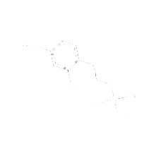 COc1ccc(CCO[Si](C)(C)C(C)(C)C)c(Br)c1